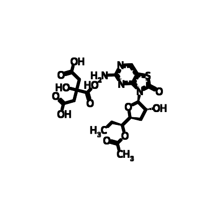 CC[C@H](OC(C)=O)[C@@H]1C[C@@H](O)[C@H](n2c(=O)sc3cnc(N)nc32)O1.O=C(O)CC(O)(CC(=O)O)C(=O)O